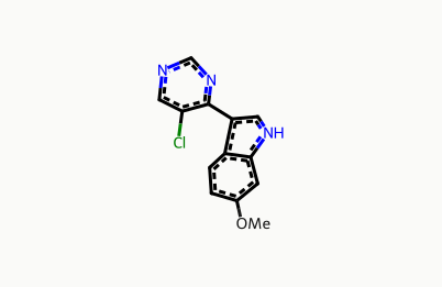 COc1ccc2c(-c3ncncc3Cl)c[nH]c2c1